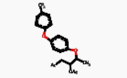 CC(=O)CC(OC(C)=O)C(C)Oc1ccc(Oc2ccc(C(F)(F)F)cc2)cc1